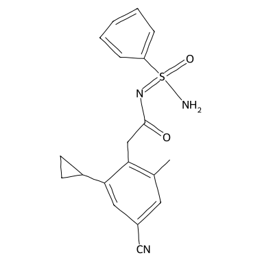 Cc1cc(C#N)cc(C2CC2)c1CC(=O)N=S(N)(=O)c1ccccc1